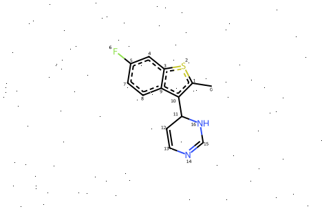 Cc1sc2cc(F)ccc2c1C1C=CN=CN1